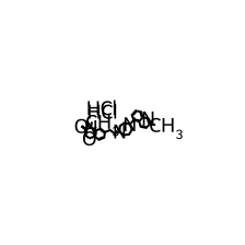 Cc1ccc2c(N3CCCN(CCc4ccc5c(c4)N(C)C(=O)CO5)CC3)cccc2n1.Cl.Cl